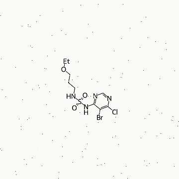 CCOCCCNS(=O)(=O)Nc1ncnc(Cl)c1Br